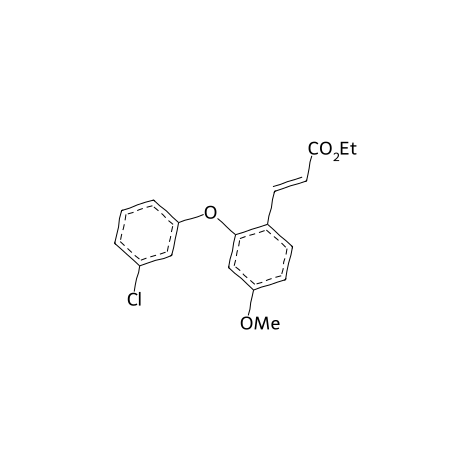 CCOC(=O)C=Cc1ccc(OC)cc1Oc1cccc(Cl)c1